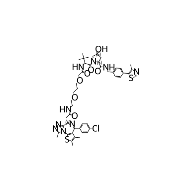 Cc1ncsc1-c1ccc(CNC(=O)[C@@H]2C[C@H](O)CN2C(=O)C(NC(=O)COCCCOCCNC(=O)C[C@@H]2N=C(c3ccc(Cl)cc3)c3c(sc(C)c3C)-n3c(C)nnc32)C(C)(C)C)cc1